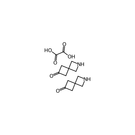 O=C(O)C(=O)O.O=C1CC2(CNC2)C1.O=C1CC2(CNC2)C1